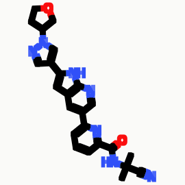 CC(C)(C#N)NC(=O)c1cccc(-c2cnc3[nH]c(-c4cnn(C5CCOC5)c4)cc3c2)n1